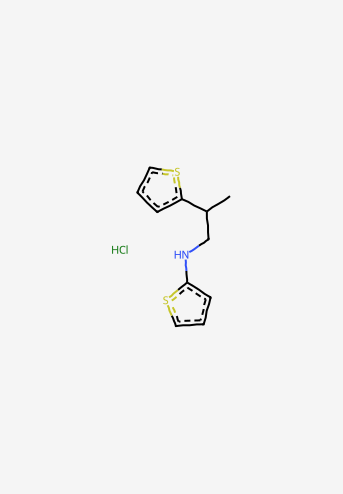 CC(CNc1cccs1)c1cccs1.Cl